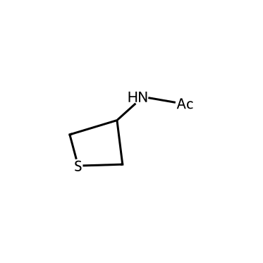 CC(=O)NC1CSC1